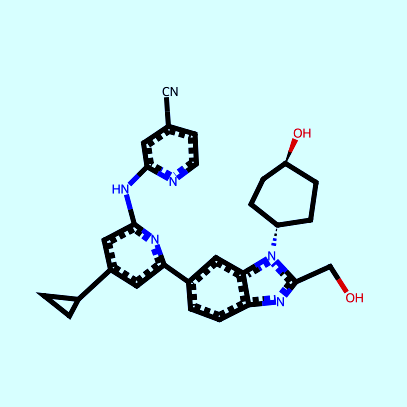 N#Cc1ccnc(Nc2cc(C3CC3)cc(-c3ccc4nc(CO)n([C@H]5CC[C@H](O)CC5)c4c3)n2)c1